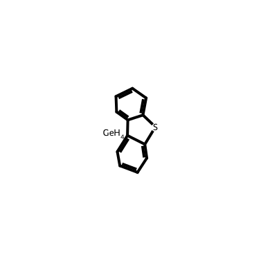 [GeH4].c1ccc2c(c1)sc1ccccc12